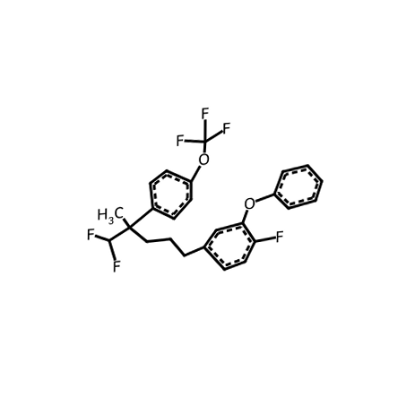 CC(CCCc1ccc(F)c(Oc2ccccc2)c1)(c1ccc(OC(F)(F)F)cc1)C(F)F